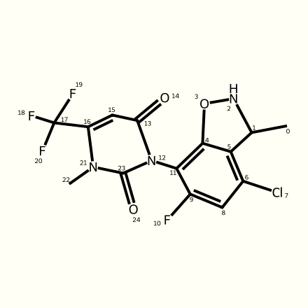 CC1NOc2c1c(Cl)cc(F)c2-n1c(=O)cc(C(F)(F)F)n(C)c1=O